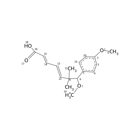 COc1ccc(C(OC)C(C)(C)C=CC=CC(=O)O)cc1